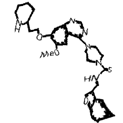 COc1cc2c(N3CCN(C(=S)NCc4coc5ccccc45)CC3)ncnc2cc1OCCC1CCCCN1